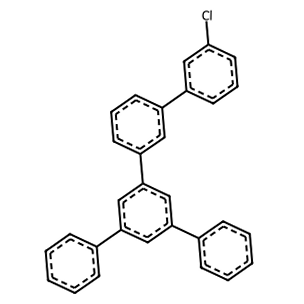 Clc1cccc(-c2cccc(-c3cc(-c4ccccc4)cc(-c4ccccc4)c3)c2)c1